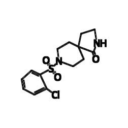 O=C1NCCC12CCN(S(=O)(=O)c1ccccc1Cl)CC2